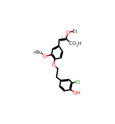 CCCCOc1cc(/C=C(/OCC)C(=O)O)ccc1OCCc1ccc(O)c(Cl)c1